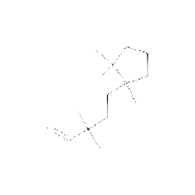 CC(C)(C=O)CCC1(C)CCCC1(C)C